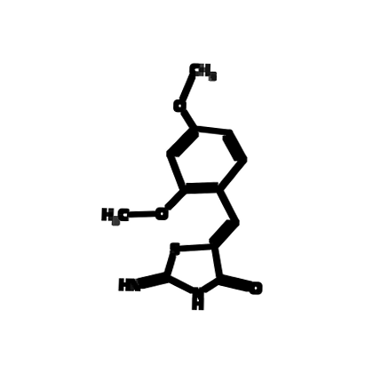 COc1ccc(/C=C2\SC(=N)NC2=O)c(OC)c1